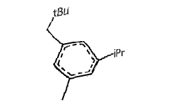 Cc1cc(CC(C)(C)C)cc(C(C)C)c1